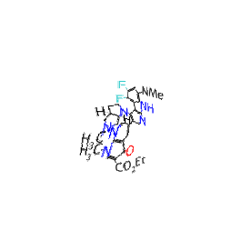 CCOC(=O)c1cn(C)c2ncc(-c3cnc4[nH]c5c(NC)cc(F)c(F)c5c4c3N3CC[C@@H]4CN(C)C[C@@H]43)cc2c1=O